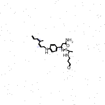 C=C/C=C(C)\C=C/CNc1ccc(/C(CC(N)=O)=N/SC(C)NCCC=O)cc1